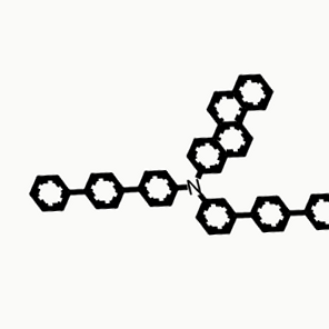 c1ccc(-c2ccc(-c3ccc(N(c4cccc(-c5ccc(-c6ccccc6)cc5)c4)c4ccc5c(ccc6c7ccccc7ccc56)c4)cc3)cc2)cc1